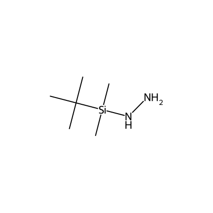 CC(C)(C)[Si](C)(C)NN